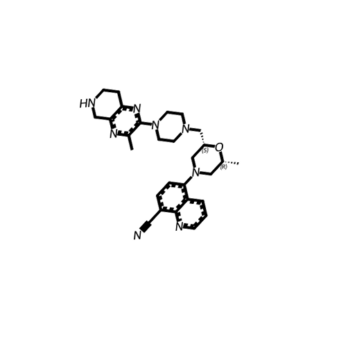 Cc1nc2c(nc1N1CCN(C[C@H]3CN(c4ccc(C#N)c5ncccc45)C[C@@H](C)O3)CC1)CCNC2